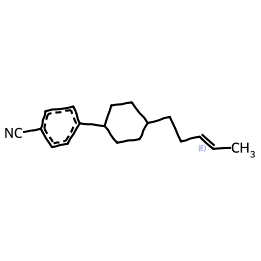 C/C=C/CCC1CCC(c2ccc(C#N)cc2)CC1